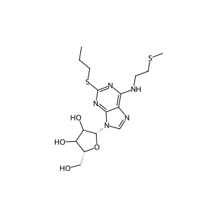 CCCSc1nc(NCCSC)c2ncn([C@@H]3O[C@H](CO)C(O)C3O)c2n1